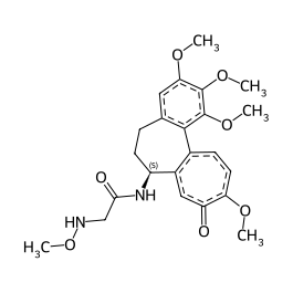 CONCC(=O)N[C@H]1CCc2cc(OC)c(OC)c(OC)c2-c2ccc(OC)c(=O)cc21